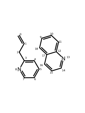 C=CCc1ccccn1.c1ccc2ncccc2c1